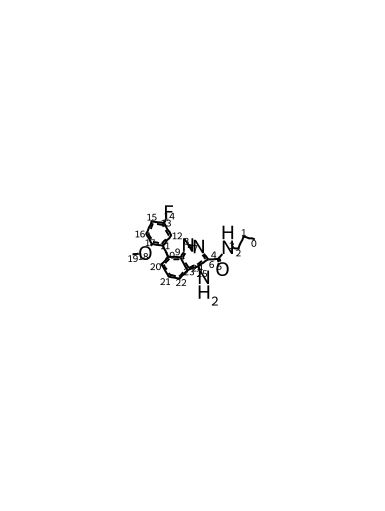 CCCNC(=O)c1nnc2c(-c3cc(F)ccc3OC)cccc2c1N